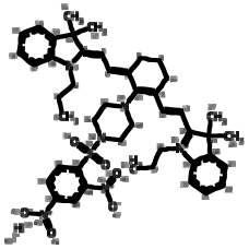 CCCN1/C(=C\C=C2/CCCC(/C=C/C3=[N+](CCC)c4ccccc4C3(C)C)=C2N2CCN(S(=O)(=O)c3ccc([N+](=O)[O-])cc3[N+](=O)[O-])CC2)C(C)(C)c2ccccc21.I.[I-]